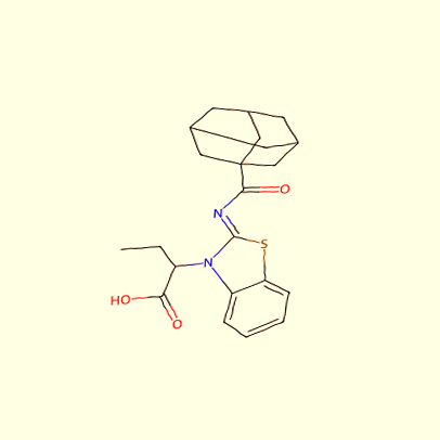 CCC(C(=O)O)n1/c(=N/C(=O)C23CC4CC(CC(C4)C2)C3)sc2ccccc21